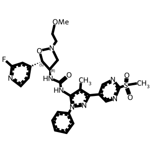 COCCN1C[C@@H](NC(=O)Nc2c(C)c(-c3cnc(S(C)(=O)=O)nc3)nn2-c2ccccc2)[C@H](c2ccnc(F)c2)O1